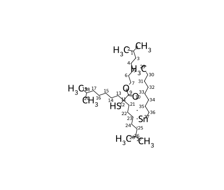 CC(C)CCCCCOC(=O)C(S)(CCCCCC(C)C)CCCCCC(C)C.CCCCCCC[CH2][Sn]